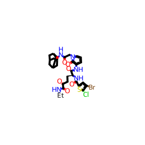 CCNC(=O)C(=O)CC[C@H](NC(=O)c1cc(Br)c(Cl)s1)C(=O)Nc1cccn(CC(=O)NC2C3CC4CC(C3)CC2C4)c1=O